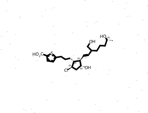 C[C@@H](O)CCCC(/C=C/[C@@H]1[C@@H](CCCc2ccc(C(=O)O)s2)[C@H](Cl)C[C@H]1O)CO